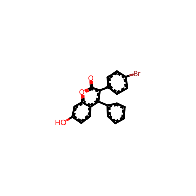 O=c1oc2cc(O)ccc2c(-c2ccccc2)c1-c1ccc(Br)cc1